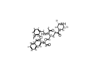 CC(=O)N(NCc1cccc(F)c1Cl)[C@@H](CCC(=O)N1C[C@@H](C)N[C@@H](C)C1)CON(C=O)c1cc2ccccc2cn1